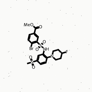 COC(=O)c1ccc(Br)c(S(=O)(=O)Nc2cc(S(C)(=O)=O)ccc2N2CCC(F)CC2)c1